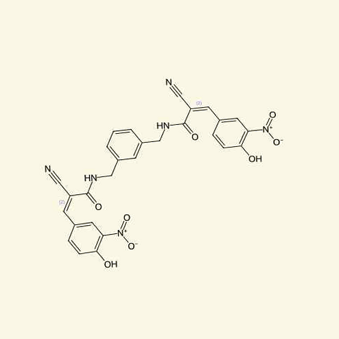 N#C/C(=C/c1ccc(O)c([N+](=O)[O-])c1)C(=O)NCc1cccc(CNC(=O)/C(C#N)=C\c2ccc(O)c([N+](=O)[O-])c2)c1